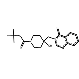 CC(C)(C)OC(=O)N1CCC(O)(Cn2cnc3ccccc3c2=O)CC1